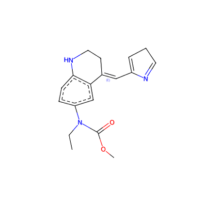 CCN(C(=O)OC)c1ccc2c(c1)/C(=C/C1=CCC=N1)CCN2